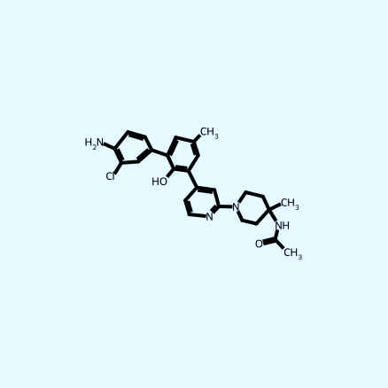 CC(=O)NC1(C)CCN(c2cc(-c3cc(C)cc(-c4ccc(N)c(Cl)c4)c3O)ccn2)CC1